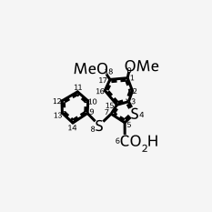 COc1cc2sc(C(=O)O)c(Sc3ccccc3)c2cc1OC